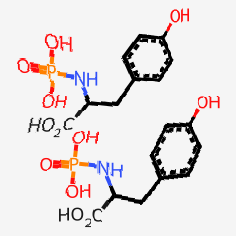 O=C(O)C(Cc1ccc(O)cc1)NP(=O)(O)O.O=C(O)C(Cc1ccc(O)cc1)NP(=O)(O)O